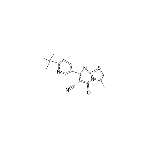 Cc1csc2nc(-c3ccc(C(C)(C)C)nc3)c(C#N)c(=O)n12